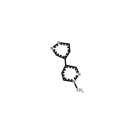 C[n+]1ccc(-c2ccnnc2)cn1